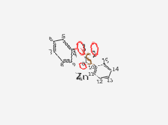 O=S(=O)(Oc1ccccc1)c1ccccc1.[Zn]